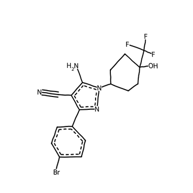 N#Cc1c(-c2ccc(Br)cc2)nn(C2CCC(O)(C(F)(F)F)CC2)c1N